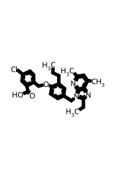 CCCc1cc(Cn2c(CC)nc3c(C)cc(C)nc32)ccc1OCc1ccc(Cl)cc1C(=O)O